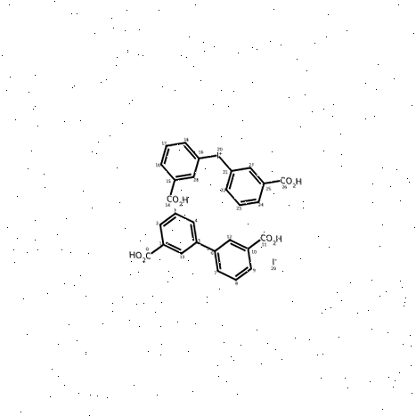 O=C(O)c1cccc(-c2cccc(C(=O)O)c2)c1.O=C(O)c1cccc([I+]c2cccc(C(=O)O)c2)c1.[I-]